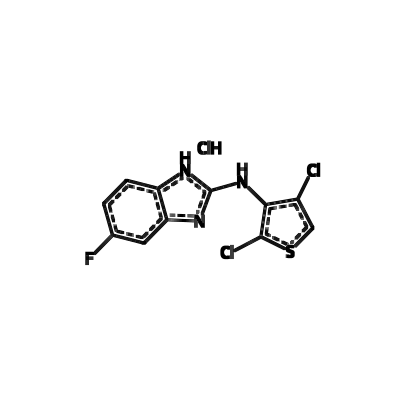 Cl.Fc1ccc2[nH]c(Nc3c(Cl)csc3Cl)nc2c1